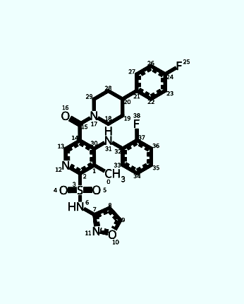 Cc1c(S(=O)(=O)Nc2ccon2)ncc(C(=O)N2CCC(c3ccc(F)cc3)CC2)c1Nc1ccccc1F